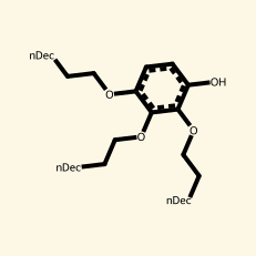 CCCCCCCCCCCCOc1ccc(O)c(OCCCCCCCCCCCC)c1OCCCCCCCCCCCC